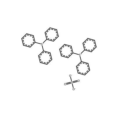 O=S(=O)([O-])[O-].c1ccc([S+](c2ccccc2)c2ccccc2)cc1.c1ccc([S+](c2ccccc2)c2ccccc2)cc1